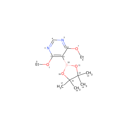 CCOc1ncnc(OCC)c1B1OC(C)(C)C(C)(C)O1